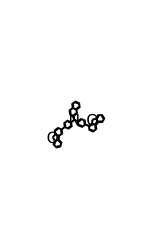 C1=CC2Oc3ccccc3C2C=C1c1ccc(N(c2ccc(-c3cccc4c3oc3ccccc34)cc2)c2ccc3ccccc3c2)cc1